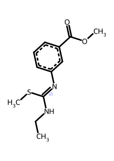 CCN/C(=N/c1cccc(C(=O)OC)c1)SC